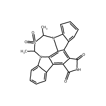 CC1n2c3ccccc3c3c4c(c5c6ccccc6n(c5c32)C(C)S1(=O)=O)C(=O)NC4=O